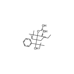 CCCCC(CC)(C(O)(c1ccccc1)C(C)(C)C)C(OP(O)O)(C(C)(C)C)C(C)(C)C